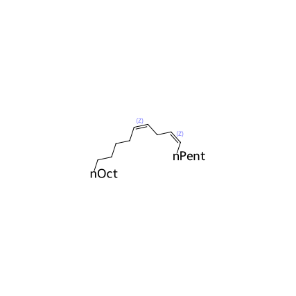 [CH2]CCCCCCCCCCC/C=C\C/C=C\CCCCC